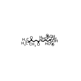 CC(C)(C)C(=O)CCC(=O)NCCCC(O)(P(=O)(O)O)P(=O)(O)O